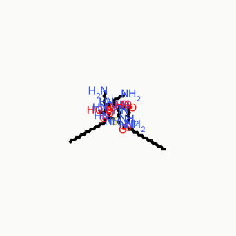 CCCCCCCCCCCCCCCCOC(=O)NCCSCC(NC(=O)CCCCCCCCCCCCCCC)C(=O)NC(CO)C(=O)NC(CCCCN)C(=O)NC(CCCCN)C(=O)NC(CCCCN)C(=O)NC(CCCCN)C(=O)O